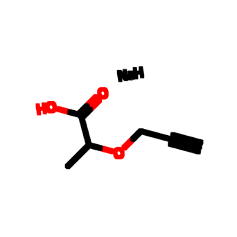 C#CCOC(C)C(=O)O.[NaH]